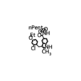 CCCCCS(=O)(=O)NC(=O)c1ccc2[nH]c(C)c(Cc3ccc(OCC)cc3Cl)c2c1